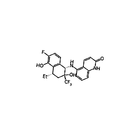 CC[C@H]1C[C@](O)(C(F)(F)F)[C@@H](Nc2cccc3[nH]c(=O)ccc23)c2ccc(F)c(O)c21